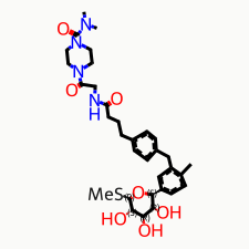 CS[C@H]1O[C@@H](c2ccc(C)c(Cc3ccc(CCCC(=O)NCC(=O)N4CCN(C(=O)N(C)C)CC4)cc3)c2)[C@H](O)[C@@H](O)[C@@H]1O